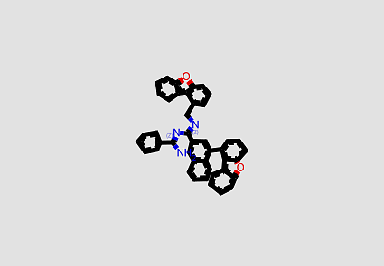 N/C(=N\C(=N/Cc1cccc2oc3ccccc3c12)c1cc(-c2cccc3oc4ccccc4c23)c2ccccc2c1)c1ccccc1